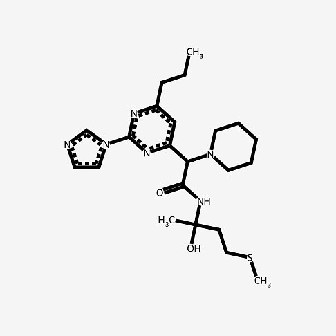 CCCc1cc(C(C(=O)NC(C)(O)CCSC)N2CCCCC2)nc(-n2ccnc2)n1